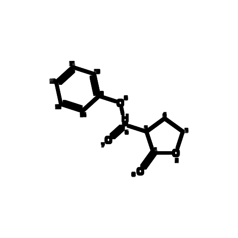 O=C1OCCC1[PH](=O)Oc1ccccc1